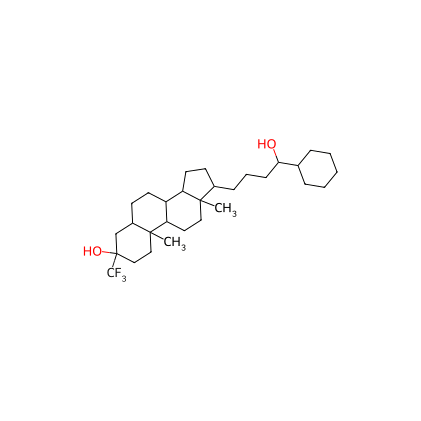 CC12CCC3C(CCC4CC(O)(C(F)(F)F)CCC43C)C1CCC2CCCC(O)C1CCCCC1